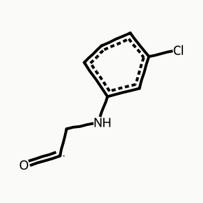 O=[C]CNc1cccc(Cl)c1